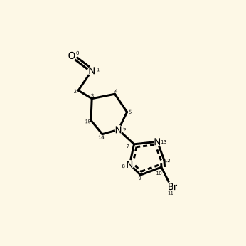 O=NCC1CCN(c2ncc(Br)cn2)CC1